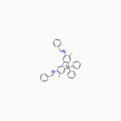 Cc1cc2c(cc1/N=C/c1ccccc1)-c1cc(/N=C/c3ccccc3)c(C)cc1[Si]2(c1ccccc1)c1ccccc1